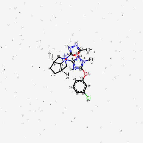 CCn1nc(NC2[C@@H]3CC[C@H]2CN(c2nnc(C)o2)C3)nc1Oc1cccc(Cl)c1